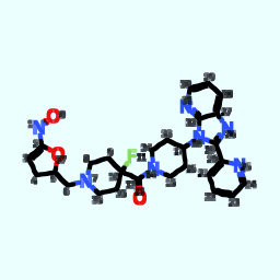 O=NC1=CCC(CN2CCC(F)(C(=O)N3CCC(n4c(-c5ccccn5)nc5cccnc54)CC3)CC2)O1